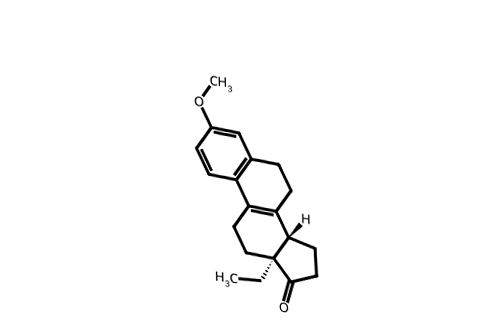 CC[C@]12CCC3=C(CCc4cc(OC)ccc43)[C@@H]1CCC2=O